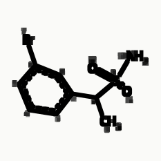 CC(c1cccc(Br)c1)S(N)(=O)=O